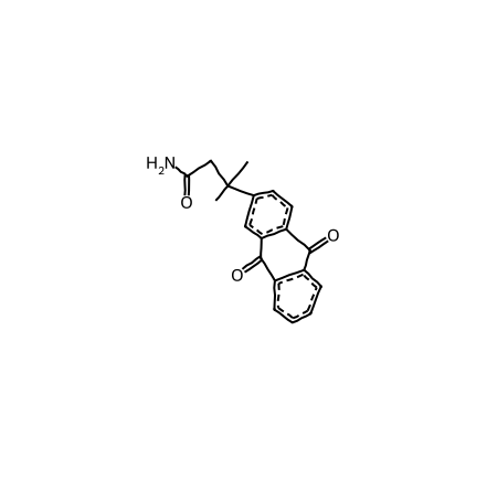 CC(C)(CC(N)=O)c1ccc2c(c1)C(=O)c1ccccc1C2=O